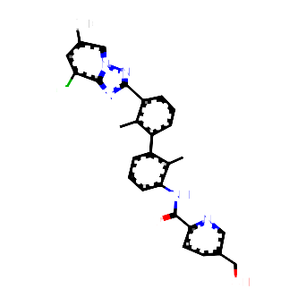 Cc1c(NC(=O)c2ccc(CO)cn2)cccc1-c1cccc(-c2nc3c(Cl)cc(C=O)cn3n2)c1C